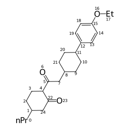 CCCC1CCC(C(=O)CC2CCC(c3ccc(OCC)cc3)CC2)C(=O)C1